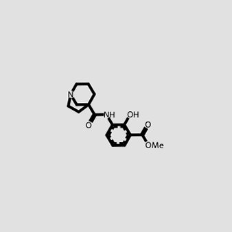 COC(=O)c1cccc(NC(=O)C23CCCN(CC2)C3)c1O